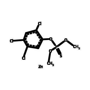 COP(=S)(OC)Oc1cc(Cl)c(Cl)cc1Cl.[Zn]